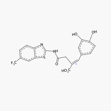 O=C(C/C(=C\c1ccc(O)c(O)c1)C(=O)O)Nc1nc2ccc(C(F)(F)F)cc2s1